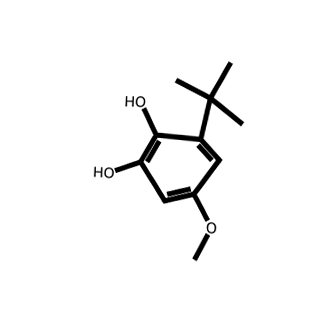 COc1cc(O)c(O)c(C(C)(C)C)c1